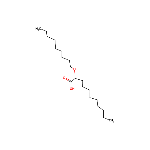 CCCCCCCCCOC(CCCCCCCCC)C(=O)O